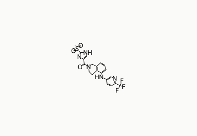 CS(=O)(=O)c1nc(C(=O)N2CCc3c(cccc3Nc3ccc(C(F)(F)F)nc3)C2)c[nH]1